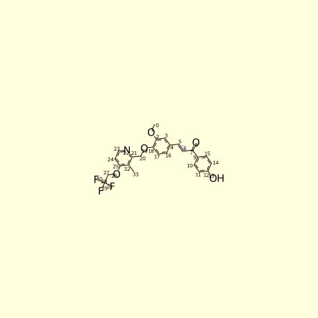 COc1cc(/C=C/C(=O)c2ccc(O)cc2)ccc1OCc1nccc(OCC(F)(F)F)c1C